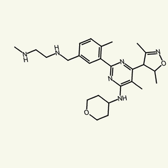 CNCCNCc1ccc(C)c(-c2nc(NC3CCOCC3)c(C)c(C3C(C)=NOC3C)n2)c1